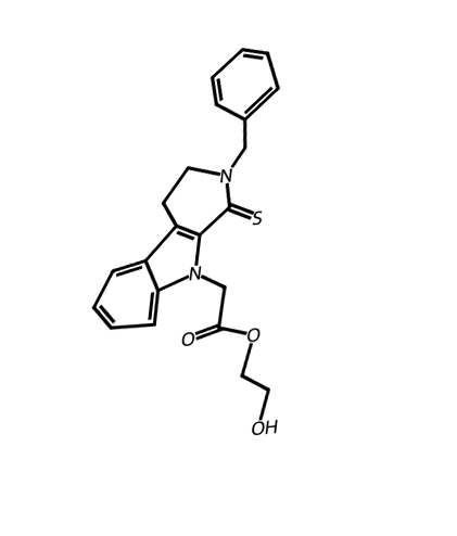 O=C(Cn1c2c(c3ccccc31)CCN(Cc1ccccc1)C2=S)OCCO